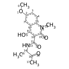 COc1ccc2c(c1)c(O)c(C(=O)N[C@@H](C)C(C)=O)c(=O)n2C